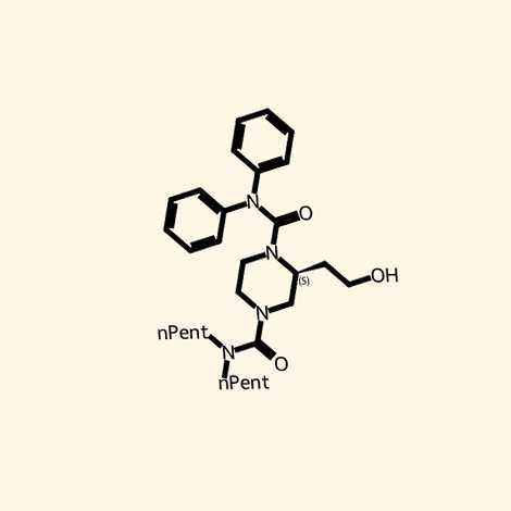 CCCCCN(CCCCC)C(=O)N1CCN(C(=O)N(c2ccccc2)c2ccccc2)[C@@H](CCO)C1